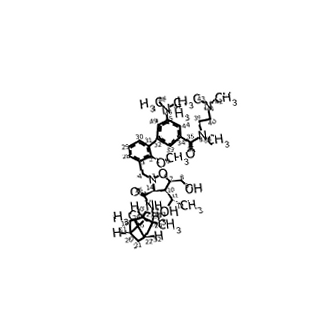 COc1c(CN2O[C@@H](CO)[C@@H]([C@H](C)O)[C@H]2C(=O)N[C@H]2C[C@H]3C[C@@H]([C@@H]2C)C3(C)C)cccc1-c1cc(C(=O)N(C)CCN(C)C)cc(N(C)C)c1